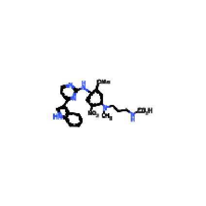 COc1cc(N(C)CCCNC(=O)O)c([N+](=O)[O-])cc1Nc1nccc(-c2c[nH]c3ccccc23)n1